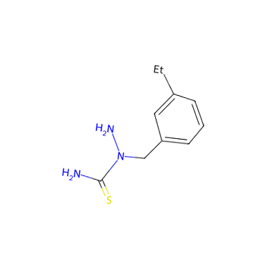 CCc1cccc(CN(N)C(N)=S)c1